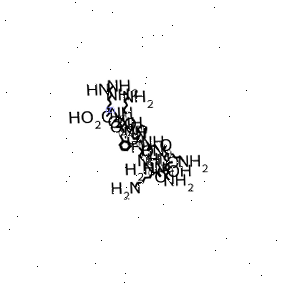 N=C(N)NCC/C=C(\NC(=O)[C@H](CCCCN)NC(=O)[C@H](Cc1cccc(F)c1)NC(=O)[C@@H]1CCCN1C(=O)[C@@H](CCCN)NC(=O)CNC(=O)[C@H](CCCN)NC(=O)[C@H](NC(=O)[C@@H](N)CCCCN)[C@@H](O)CN)C(=O)O